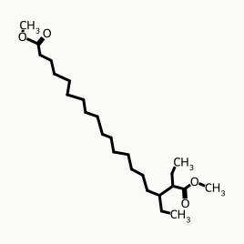 CCC(CCCCCCCCCCCCCCCC(=O)OC)C(CC)C(=O)OC